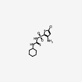 Nc1cc(Cl)sc1S(=O)(=O)NC(=S)NC1CCCCC1